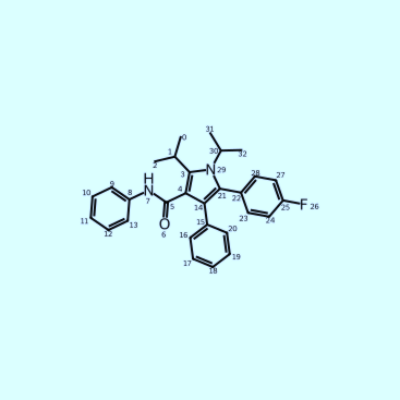 CC(C)c1c(C(=O)Nc2ccccc2)c(-c2ccccc2)c(-c2ccc(F)cc2)n1C(C)C